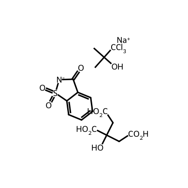 CC(C)(O)C(Cl)(Cl)Cl.O=C(O)CC(O)(CC(=O)O)C(=O)O.O=C1[N-]S(=O)(=O)c2ccccc21.[Na+]